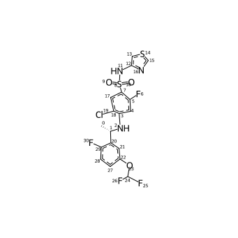 C[C@H](Nc1cc(F)c(S(=O)(=O)Nc2cscn2)cc1Cl)c1cc(OC(F)F)ccc1F